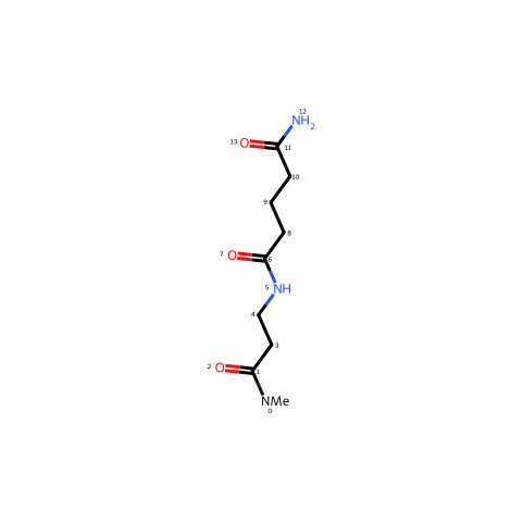 CNC(=O)CCNC(=O)CCCC(N)=O